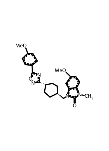 COc1ccc(-c2nc([C@H]3CC[C@H](Cn4c(=O)n(C)c5ccc(OC)cc54)CC3)no2)cc1